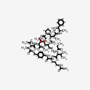 CCC(=O)N[C@H](C(=O)N[C@@H](CCCNC(N)=O)C(=O)Nc1ccc(COC(=O)N(C)[C@H](C(=O)N[C@H](C(=O)N(C)[C@@H]([C@@H](C)CC)[C@@H](CC(=O)N2CCC[C@H]2[C@H](OC)[C@@H](C)C(=O)N[C@H](C)[C@@H](O)c2ccccc2)OC)C(C)C)C(C)C)cc1)C(C)C